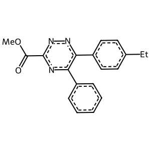 CCc1ccc(-c2nnc(C(=O)OC)nc2-c2ccccc2)cc1